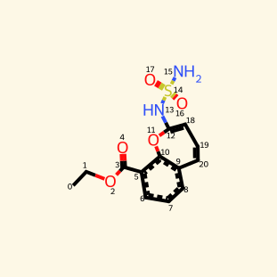 CCOC(=O)c1cccc2c1OC(NS(N)(=O)=O)=CC=C2